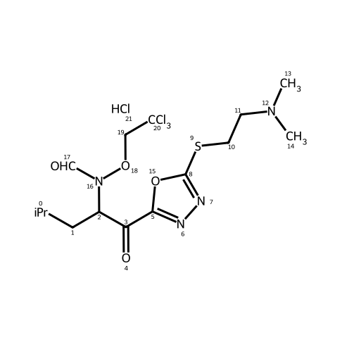 CC(C)CC(C(=O)c1nnc(SCCN(C)C)o1)N(C=O)OCC(Cl)(Cl)Cl.Cl